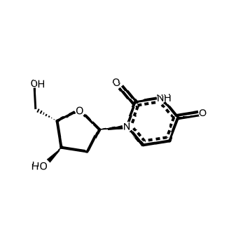 O=c1ccn([C@H]2C[C@@H](O)[C@H](CO)O2)c(=O)[nH]1